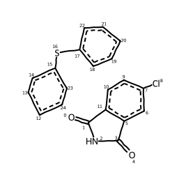 O=C1NC(=O)c2cc(Cl)ccc21.c1ccc(Sc2ccccc2)cc1